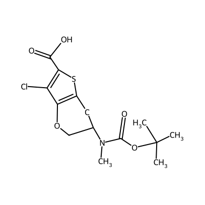 CN(C(=O)OC(C)(C)C)C1COc2c(sc(C(=O)O)c2Cl)C1